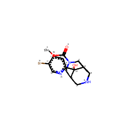 CC(C)(C)OC(=O)N1CC2CNCC(C1)C2(O)c1ccc(Br)cn1